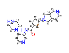 O=C(Nc1cnccc1N1CCNCC1)c1ccc(N2Cc3ccncc3C2)s1